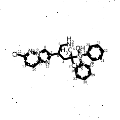 CC(C)(CC(CN)c1cn2nc(Cl)ccc2n1)[Si](O)(c1ccccc1)c1ccccc1